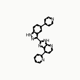 c1ccc(-c2ccnc3[nH]c(-c4n[nH]c5ccc(-c6ccncc6)cc45)nc23)nc1